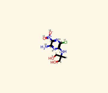 CC(CO)(CO)Nc1nc(N)c([N+](=O)[O-])nc1Cl